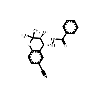 CC1(C)Oc2ccc(C#N)cc2[C@@H](NNC(=O)c2ccccc2)[C@@H]1O